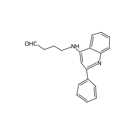 O=CCCCNc1cc(-c2ccccc2)nc2ccccc12